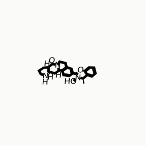 C[C@H](c1ccccc1)N(O)C(=O)c1ccc2c(c1)CCN1C(=O)[C@H]3CCCN[C@H]3C[C@@H]21